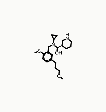 COCCCc1ccc(SC)c(CN(C2CC2)C(O)[C@@H]2CCCNC2)c1